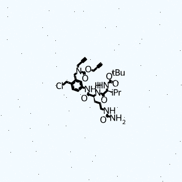 C#CCOC(=O)N(CC#C)Cc1cc(NC(=O)[C@H](CCCNC(N)=O)NC(=O)[C@@H](NC(=O)OC(C)(C)C)C(C)C)ccc1CCl